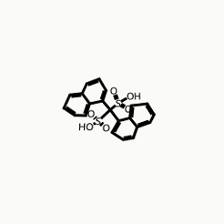 O=S(=O)(O)C(c1cccc2ccccc12)(c1cccc2ccccc12)S(=O)(=O)O